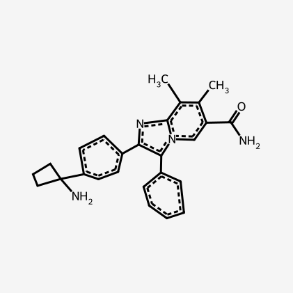 Cc1c(C(N)=O)cn2c(-c3ccccc3)c(-c3ccc(C4(N)CCC4)cc3)nc2c1C